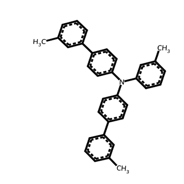 Cc1cccc(-c2ccc(N(c3ccc(-c4cccc(C)c4)cc3)c3cccc(C)c3)cc2)c1